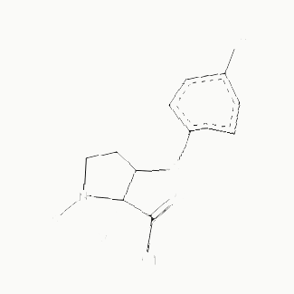 O=C(O)[C@]1(O)C(Oc2ccc(Br)cc2)CCN1S